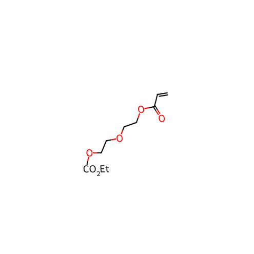 C=CC(=O)OCCOCCOC(=O)OCC